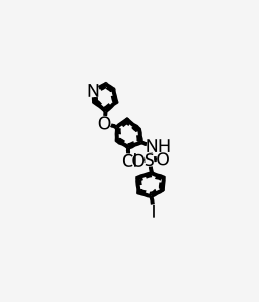 O=S(=O)(Nc1ccc(Oc2cccnc2)cc1Cl)c1ccc(I)cc1